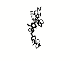 CCc1cc(N2C(=S)N(c3cnc(C#N)c(C(F)(F)F)c3)C(=O)C23CCC3)ccc1OCCC1CCN(C(C)C(=O)OC(C)(C)C)CC1